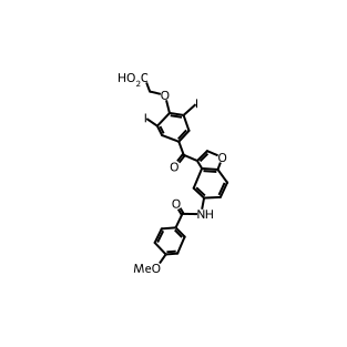 COc1ccc(C(=O)Nc2ccc3occ(C(=O)c4cc(I)c(OCC(=O)O)c(I)c4)c3c2)cc1